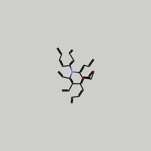 C=C\C=C/C(=C\C=C)C(/C=C)=C(/C=C)N(C(/C=C\C)=C/C=C)C(/C=C\C=C)=C/C=C